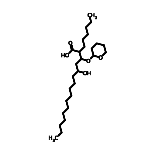 CCCCCCCCCCCC(O)CC(OC1CCCCO1)C(CCCCCC)C(=O)O